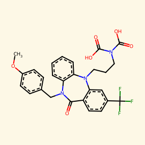 COc1ccc(CN2C(=O)c3ccc(C(F)(F)F)cc3N(CCCN(C(=O)O)C(=O)O)c3ccccc32)cc1